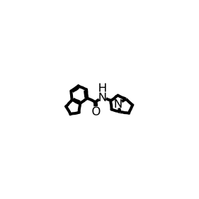 CN1C2CCC1CC(NC(=O)c1cccc3c1CCC3)C2